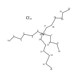 CCCCCC[N+](CCCC)(CCCCCC)CCCCCC.[Cl-]